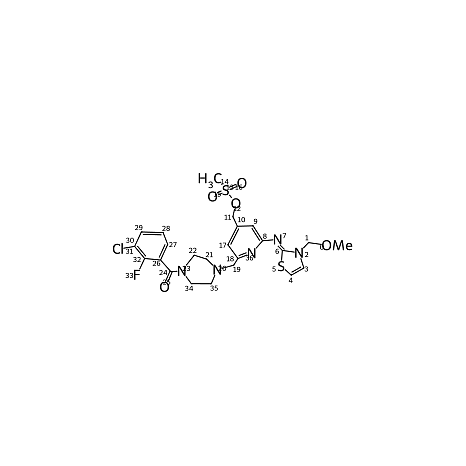 COCn1ccs/c1=N\c1cc(COS(C)(=O)=O)cc(CN2CCN(C(=O)c3cccc(Cl)c3F)CC2)n1